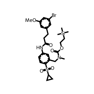 COc1cc(Br)cc(CCC(=O)Nc2ccc(S(=O)(=O)C3CC3)c(CN(C)C(=O)OCC[Si](C)(C)C)c2)c1